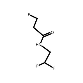 O=C(CCF)NCC(F)F